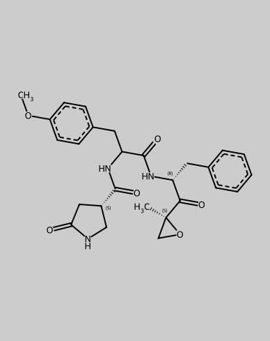 COc1ccc(CC(NC(=O)[C@@H]2CNC(=O)C2)C(=O)N[C@H](Cc2ccccc2)C(=O)[C@]2(C)CO2)cc1